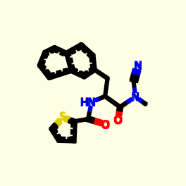 CN(C#N)C(=O)C(Cc1ccc2ccccc2c1)NC(=O)c1cccs1